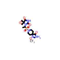 CC(N1C(=O)NC(=O)C12COC2)S(=O)(=O)N1CCC(C(N)=O)(N(C)OC(F)(F)F)CC1